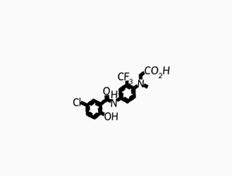 CN(CC(=O)O)c1ccc(NC(=O)c2cc(Cl)ccc2O)cc1C(F)(F)F